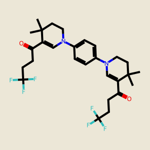 CC1(C)CCN(c2ccc(N3C=C(C(=O)CCC(F)(F)F)C(C)(C)CC3)cc2)C=C1C(=O)CCC(F)(F)F